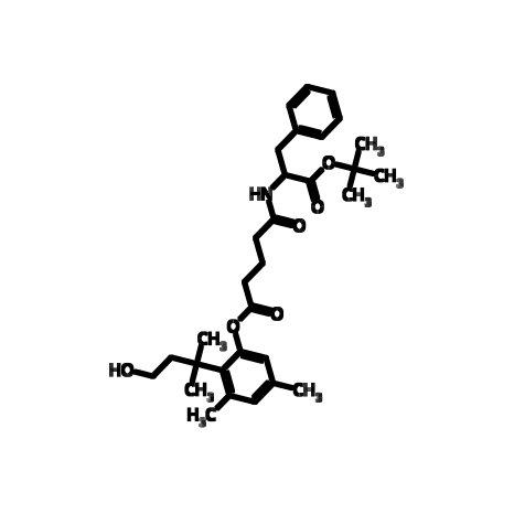 Cc1cc(C)c(C(C)(C)CCO)c(OC(=O)CCCC(=O)NC(Cc2ccccc2)C(=O)OC(C)(C)C)c1